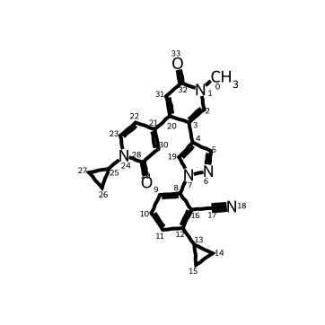 Cn1cc(-c2cnn(-c3cccc(C4CC4)c3C#N)c2)c(-c2ccn(C3CC3)c(=O)c2)cc1=O